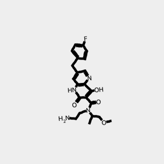 COCC(C)N(CCN)C(=O)c1c(O)c2ncc(Cc3ccc(F)cc3)cc2[nH]c1=O